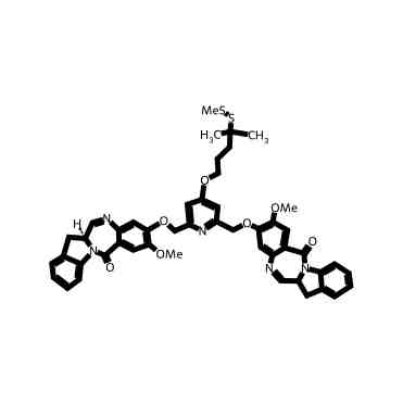 COc1cc2c(cc1OCc1cc(OCCCC(C)(C)SSC)cc(COc3cc4c(cc3OC)C(=O)N3c5ccccc5C[C@H]3C=N4)n1)N=CC1Cc3ccccc3N1C2=O